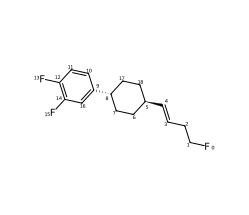 FCCC=C[C@H]1CC[C@H](c2ccc(F)c(F)c2)CC1